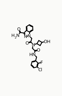 NC(=O)c1nn(CC(=O)N(CC(=O)NCc2cccc(Cl)c2F)C2CC(O)C2)c2ccccc12